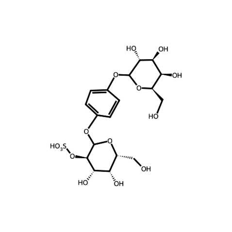 O=S(=O)(O)O[C@H]1C(Oc2ccc(OC3O[C@H](CO)[C@H](O)[C@H](O)[C@H]3O)cc2)O[C@H](CO)[C@H](O)[C@@H]1O